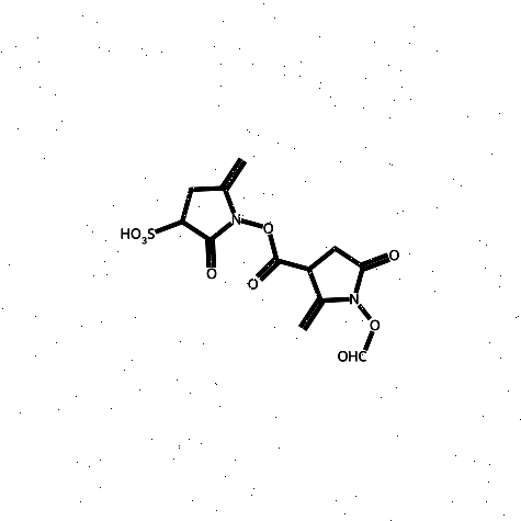 C=C1CC(S(=O)(=O)O)C(=O)N1OC(=O)C1CC(=O)N(OC=O)C1=C